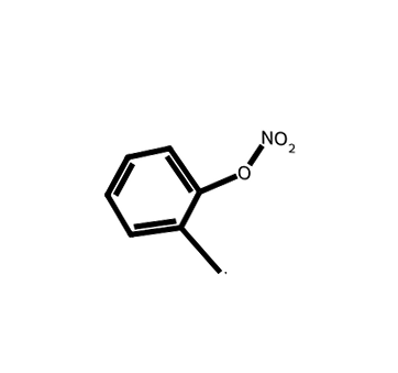 [CH2]c1ccccc1O[N+](=O)[O-]